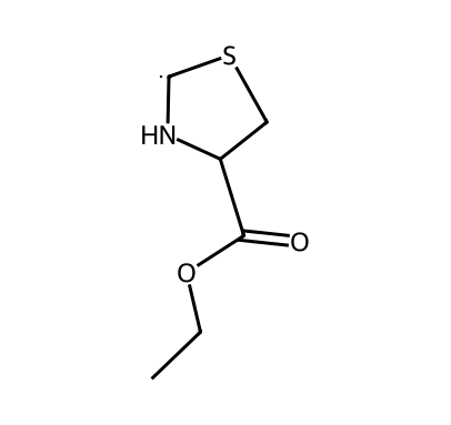 CCOC(=O)C1CS[CH]N1